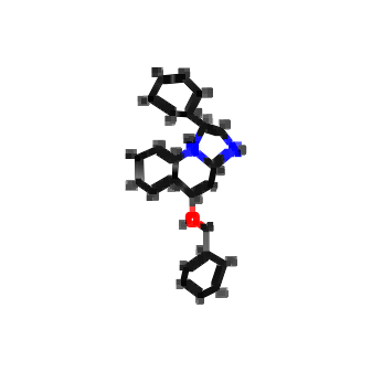 c1ccc(COc2cc3ncc(-c4ccccc4)n3c3ccccc23)cc1